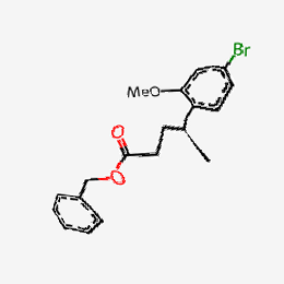 COc1cc(Br)ccc1[C@@H](C)CCC(=O)OCc1ccccc1